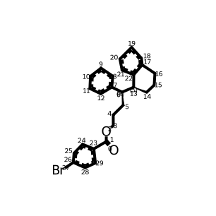 O=C(OCCC[C@@H](c1ccccc1)[C@@H]1CCCc2ccccc21)c1ccc(Br)cc1